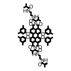 C=C(C)C(=O)NCCNC(=O)C(C(C)C)N1C(=O)c2cc(Oc3cc(C)cc(C)c3)c3c4c(Oc5cc(C)cc(C)c5)cc5c6c(cc(Oc7cc(C)cc(C)c7)c(c7c(Oc8cc(C)cc(C)c8)cc(c2c37)C1=O)c64)C(=O)N(C(C(=O)NCCNC(=O)C(C)C)C(C)C)C5=O